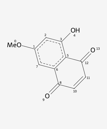 COc1cc(O)c2c(c1)C(=O)C=CC2=O